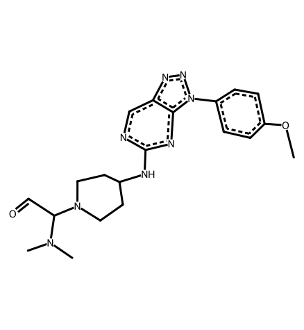 COc1ccc(-n2nnc3cnc(NC4CCN(C(C=O)N(C)C)CC4)nc32)cc1